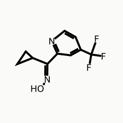 ON=C(c1cc(C(F)(F)F)ccn1)C1CC1